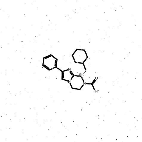 CC(C)C(=O)N1CCn2cc(-c3ccccc3)nc2[C@@H]1CC1CCCCC1